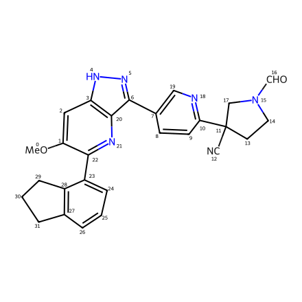 COc1cc2[nH]nc(-c3ccc(C4(C#N)CCN(C=O)C4)nc3)c2nc1-c1cccc2c1CCC2